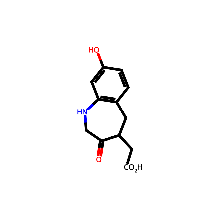 O=C(O)CC1Cc2ccc(O)cc2NCC1=O